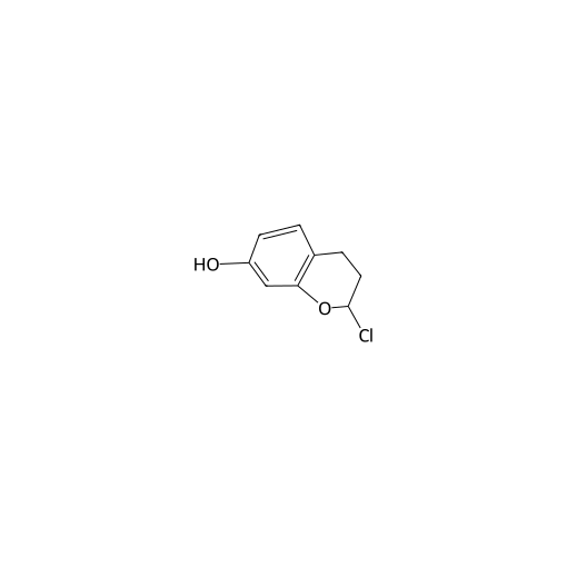 Oc1ccc2c(c1)OC(Cl)CC2